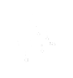 COC=O.O=C1CCCC1Cc1ccc(Cl)cc1.[Na]